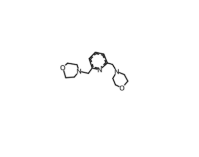 c1cc(CN2CCOCC2)nc(CN2CCOCC2)c1